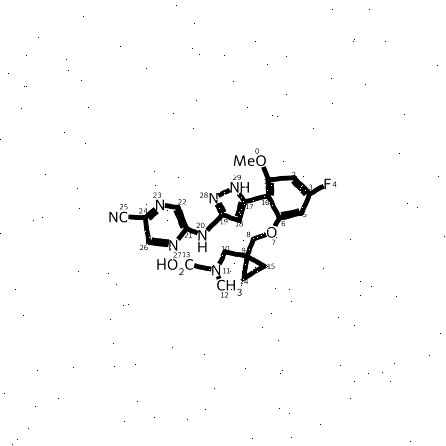 COc1cc(F)cc(OCC2(CN(C)C(=O)O)CC2)c1-c1cc(Nc2cnc(C#N)cn2)n[nH]1